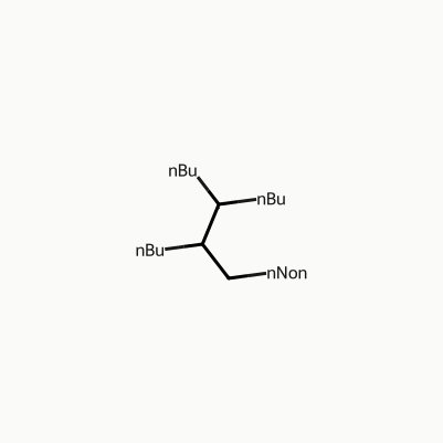 CCCCCCCCCCC(CCCC)[C](CCCC)CCCC